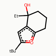 CCC1(O)CCCc2oc(C(C)(C)C)cc21